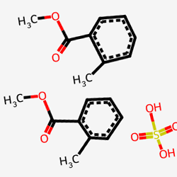 COC(=O)c1ccccc1C.COC(=O)c1ccccc1C.O=S(=O)(O)O